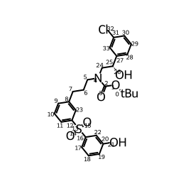 CC(C)(C)OC(=O)N(CCCc1cccc(S(=O)(=O)c2cccc(O)c2)c1)C[C@@H](O)c1cccc(Cl)c1